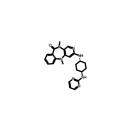 CN1C(=O)c2ccccc2N(C)c2cc(N[C@H]3CC[C@H](Nc4ncccn4)CC3)ncc21